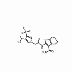 CC(O)c1cn(CC(=O)Nc2sc3c(c2C(N)=O)CCCC3)nc1C(F)(F)F